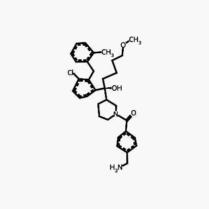 COCCCC[C@@](O)(c1cccc(Cl)c1Cc1ccccc1C)C1CCCN(C(=O)c2ccc(CN)cc2)C1